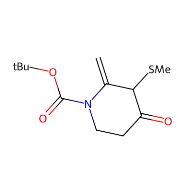 C=C1C(SC)C(=O)CCN1C(=O)OC(C)(C)C